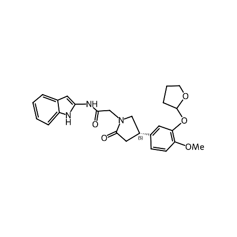 COc1ccc([C@@H]2CC(=O)N(CC(=O)Nc3cc4ccccc4[nH]3)C2)cc1OC1CCCO1